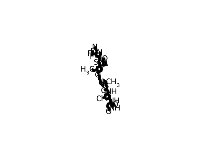 CCc1cc(N2C(=S)N(c3cnc(C#N)c(C(F)(F)F)c3)C(=O)C23CCC3)ccc1OCCN1CCN(CC(=O)Nc2cc(Cl)cc(NC3CCC(=O)NC3=O)c2)[C@H](C)C1